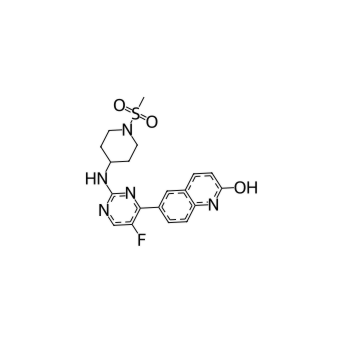 CS(=O)(=O)N1CCC(Nc2ncc(F)c(-c3ccc4nc(O)ccc4c3)n2)CC1